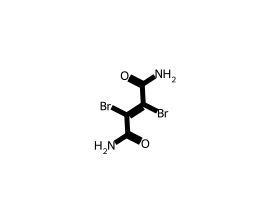 NC(=O)C(Br)=C(Br)C(N)=O